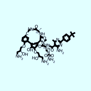 Cc1nc(-c2ccc(C(C)(C)C)cc2)nc(N)c1C(=O)N[C@@H](CNS(N)(=O)=O)C(=O)N(C)[C@@H]1C(=O)N[C@@H](C)C(=O)NCCc2ccc(OC[C@H](O)CN)c(c2)-c2cc1cc(OC[C@H](O)CN)c2O